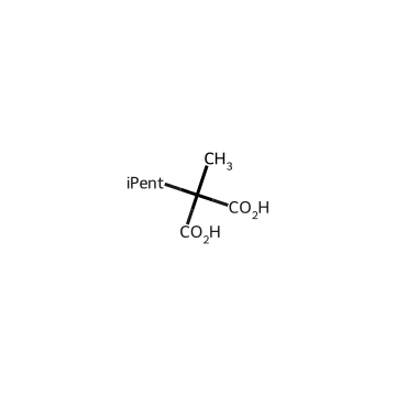 CCCC(C)C(C)(C(=O)O)C(=O)O